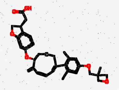 C=C1/C=C\C=C(\c2c(C)cc(OCC3(C)COC3)cc2C)CCC[C@H]1Oc1ccc2c(c1)OC[C@H]2CC(=O)O